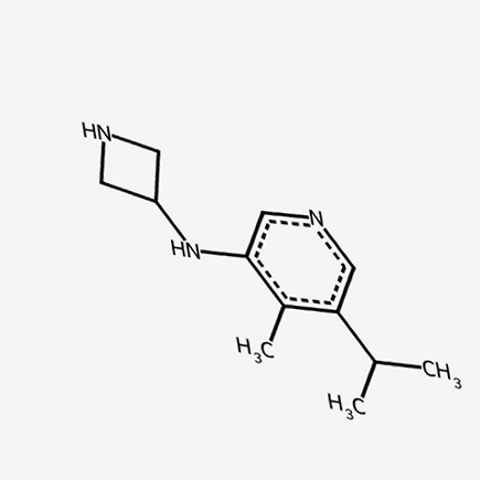 Cc1c(NC2CNC2)cncc1C(C)C